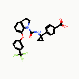 O=C(O)c1ccc(C2(NC(=O)N3CCc4cccc(Oc5cccc(C(F)(F)F)c5)c43)CC2)cc1